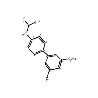 O=Cc1cc(Cl)cc(-c2ccc(OC(F)F)cc2)c1